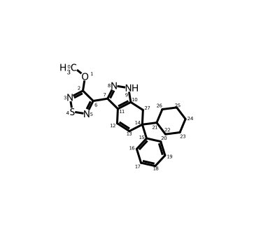 COc1nsnc1-c1n[nH]c2c1C=CC(c1ccccc1)(C1CCCCC1)C2